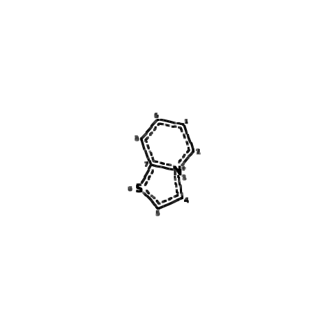 c1cc[n+]2ccsc2c1